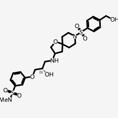 CNS(=O)(=O)c1cccc(OC[C@@H](O)CNC2COC3(CCN(S(=O)(=O)c4ccc(CO)cc4)CC3)C2)c1